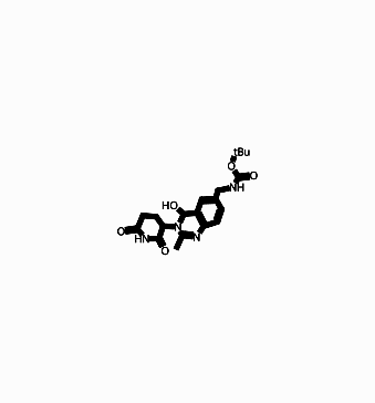 CC1=Nc2ccc(CNC(=O)OC(C)(C)C)cc2C(O)N1C1CCC(=O)NC1=O